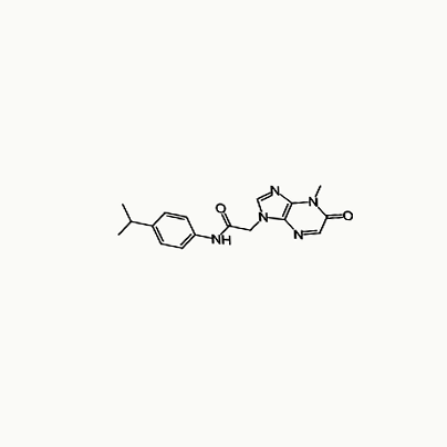 CC(C)c1ccc(NC(=O)Cn2cnc3c2ncc(=O)n3C)cc1